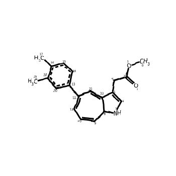 COC(=O)CC1=CNC2C=CC=C(c3ccc(C)c(C)c3)C=C12